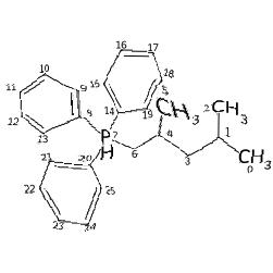 CC(C)CC(C)C[PH](c1ccccc1)(c1ccccc1)c1ccccc1